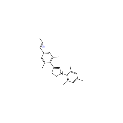 C/C=C/c1cc(C)c(C2=CN(c3c(C)cc(C)cc3C)CC2)c(C)c1